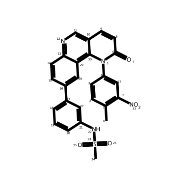 Cc1ccc(-n2c(=O)ccc3cnc4ccc(-c5cccc(NS(C)(=O)=O)c5)cc4c32)cc1[N+](=O)[O-]